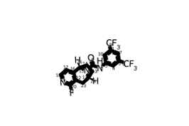 O=C(Nc1cc(C(F)(F)F)cc(C(F)(F)F)c1)N1[C@@H]2CC[C@H]1c1ccnc(F)c1C2